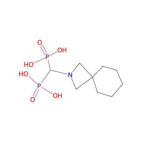 O=P(O)(O)C(N1CC2(CCCCC2)C1)P(=O)(O)O